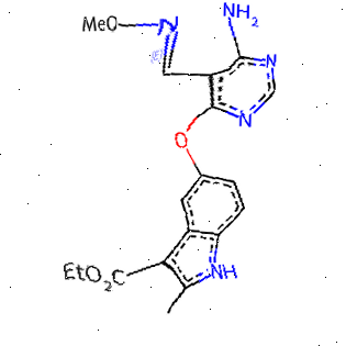 CCOC(=O)c1c(C)[nH]c2ccc(Oc3ncnc(N)c3/C=N/OC)cc12